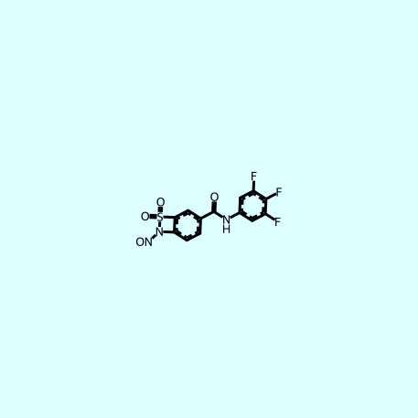 O=NN1c2ccc(C(=O)Nc3cc(F)c(F)c(F)c3)cc2S1(=O)=O